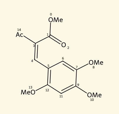 COC(=O)C(=Cc1cc(OC)c(OC)cc1OC)C(C)=O